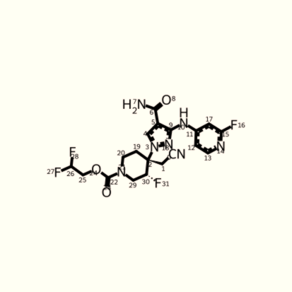 N#CC[C@]1(n2cc(C(N)=O)c(Nc3ccnc(F)c3)n2)CCN(C(=O)OCC(F)F)C[C@H]1F